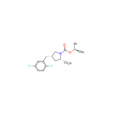 CC(=O)O[C@@H](OC(=O)N1C[C@@H](Cc2cc(F)ccc2F)C[C@H]1C(=O)O)C(C)C